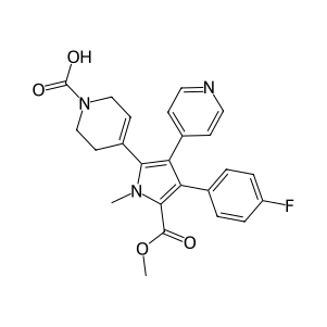 COC(=O)c1c(-c2ccc(F)cc2)c(-c2ccncc2)c(C2=CCN(C(=O)O)CC2)n1C